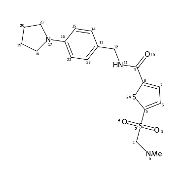 CNCS(=O)(=O)c1ccc(C(=O)NCc2ccc(N3CCCC3)cc2)s1